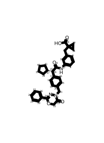 O=C(Nc1cccc(CC2(C(=O)O)CC2)c1)[C@H](c1ccc(CN2N=C(c3ccccc3)OCC2=O)cc1)C1CCCC1